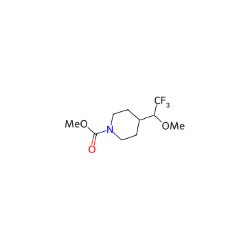 COC(=O)N1CCC(C(OC)C(F)(F)F)CC1